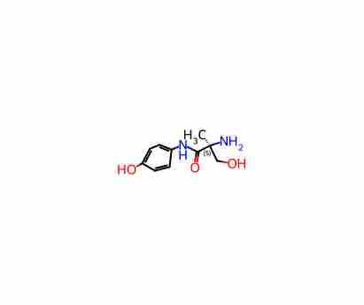 C[C@](N)(CO)C(=O)Nc1ccc(O)cc1